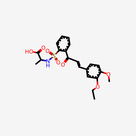 CCOc1cc(C=CC(=O)c2ccccc2S(=O)(=O)NC(C)C(=O)O)ccc1OC